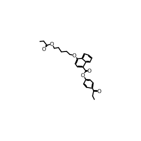 CCC(=O)OCCCCCOc1ccc(C(=O)Oc2ccc(C(=O)CC)cc2)c2ccccc12